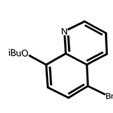 CC(C)COc1ccc(Br)c2cccnc12